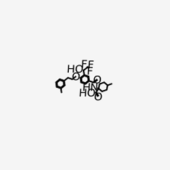 Cc1cccc(CCOc2ccc(C(=O)NC3(C(=O)O)CCC(C)CC3)cc2C(O)C(F)(F)F)c1